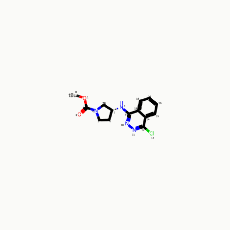 CC(C)(C)OC(=O)N1CC[C@@H](Nc2nnc(Cl)c3ccccc23)C1